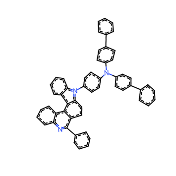 c1ccc(-c2ccc(N(c3ccc(-c4ccccc4)cc3)c3ccc(-n4c5ccccc5c5c6c(ccc54)c(-c4ccccc4)nc4ccccc46)cc3)cc2)cc1